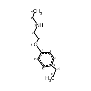 CCNCCOc1ccc(CC)cc1